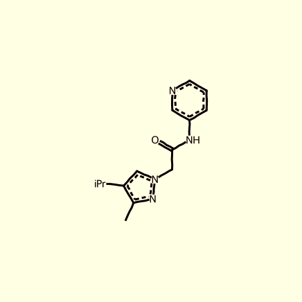 Cc1nn(CC(=O)Nc2cccnc2)cc1C(C)C